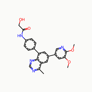 COc1cc(-c2cc(-c3ccc(NC(=O)CO)cc3)c3ncnc(C)c3c2)cnc1OC